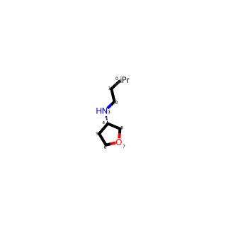 CC(C)CCN[C@H]1CCOC1